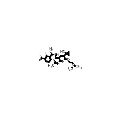 Cc1nc(N[C@H](C)c2cccc(C(F)F)c2F)c2cc(C3(C#N)CC3)c(OCCN(C)C)nc2n1